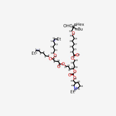 CC/C=C\CCCCOC(CCC(=O)OCCCC(CCCOC(=O)CCCCCCCOCC(C=O)(CCCC)CCCCCC)OC(=O)OCC1CCCN(CC)C1)OCCCC/C=C\CC